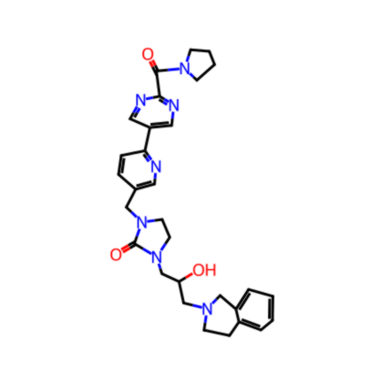 O=C(c1ncc(-c2ccc(CN3CCN(CC(O)CN4CCc5ccccc5C4)C3=O)cn2)cn1)N1CCCC1